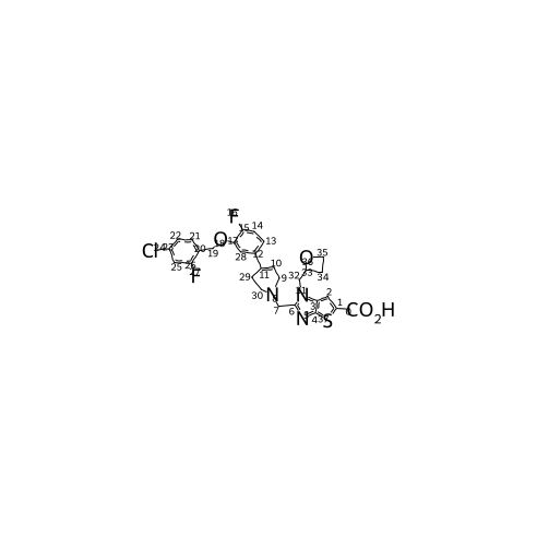 O=C(O)c1cc2c(nc(CN3CC=C(c4ccc(F)c(OCc5ccc(Cl)cc5F)c4)CC3)n2CC2CCO2)s1